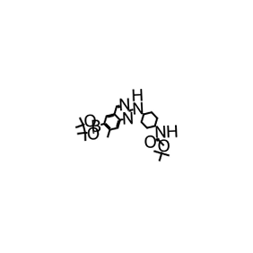 Cc1cc2nc(N[C@H]3CC[C@H](NC(=O)OC(C)(C)C)CC3)ncc2cc1B1OC(C)(C)C(C)(C)O1